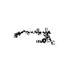 CC(C)C(NC(=O)COCC(=O)NCCOCCNC(=O)CCCC#Cc1cnc(S(C)(=O)=O)nc1)C(=O)N[C@@H](CCCNC(N)=O)C(=O)Nc1ccc(CO)cc1